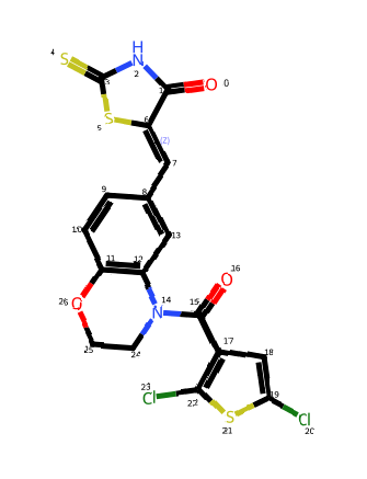 O=C1NC(=S)S/C1=C\c1ccc2c(c1)N(C(=O)c1cc(Cl)sc1Cl)CCO2